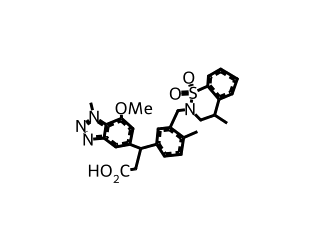 COc1cc(C(CC(=O)O)c2ccc(C)c(CN3CC(C)c4ccccc4S3(=O)=O)c2)cc2nnn(C)c12